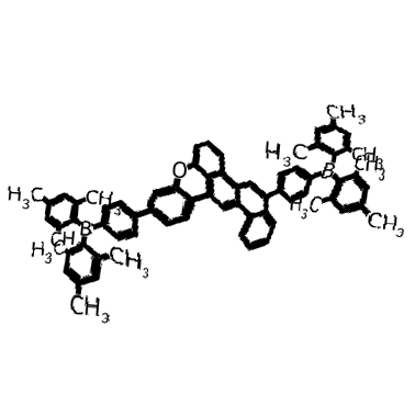 Cc1cc(C)c(B(c2ccc(-c3ccc4c(c3)Oc3cccc5c3c-4cc3c4ccccc4c(-c4ccc(B(c6c(C)cc(C)cc6C)c6c(C)cc(C)cc6C)cc4)cc53)cc2)c2c(C)cc(C)cc2C)c(C)c1